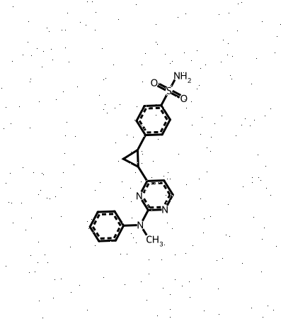 CN(c1ccccc1)c1nccc(C2CC2c2ccc(S(N)(=O)=O)cc2)n1